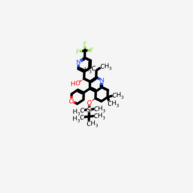 CC(C)c1nc2c(c(C3=CCOCC3)c1[C@H](O)c1ccc(C(F)(F)F)nc1)[C@@H](O[Si](C)(C)C(C)(C)C)CC(C)(C)C2